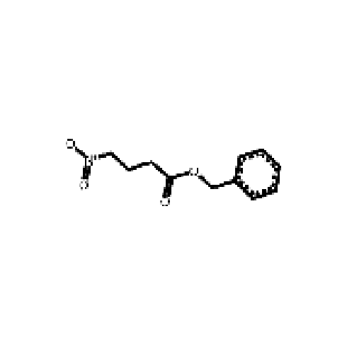 O=C(CCC[N+](=O)[O-])OCc1ccccc1